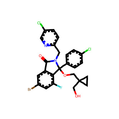 O=C1c2cc(Br)cc(F)c2C(OCC2(CO)CC2)(c2ccc(Cl)cc2)N1Cc1ccc(Cl)cn1